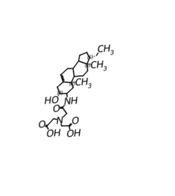 CC[C@H]1CCC2C3CC=C4C[C@@H](O)C(NC(=O)CN(CC(=O)O)CC(=O)O)C[C@]4(C)C3CC[C@@]21C